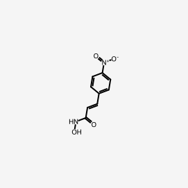 O=C(C=Cc1ccc([N+](=O)[O-])cc1)NO